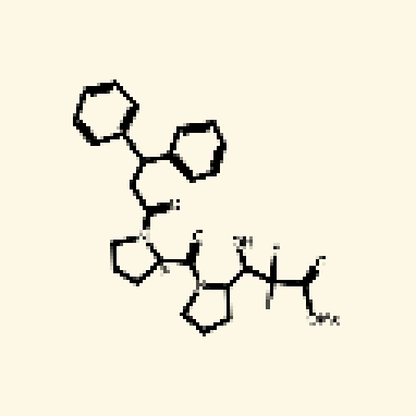 COC(=O)C(F)(F)C(O)C1CCCN1C(=O)[C@H]1CCCN1C(=O)CC(c1ccccc1)c1ccccc1